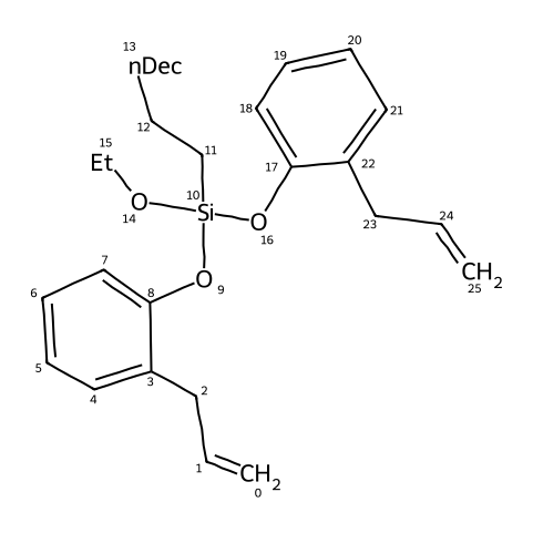 C=CCc1ccccc1O[Si](CCCCCCCCCCCC)(OCC)Oc1ccccc1CC=C